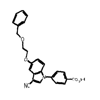 N#Cc1cn(-c2ccc(C(=O)O)cc2)c2ccc(OCCOCc3ccccc3)cc12